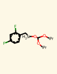 CC(C)OC(O[SiH2]Cc1ccc(F)cc1F)OC(C)C